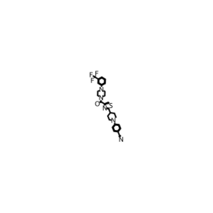 N#Cc1ccc(N2CCC(c3nc(C(=O)N4CCN(c5cccc(C(F)(F)F)c5)CC4)cs3)CC2)cc1